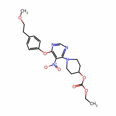 CCOC(=O)OC1CCN(c2ncnc(Oc3ccc(CCOC)cc3)c2[N+](=O)[O-])CC1